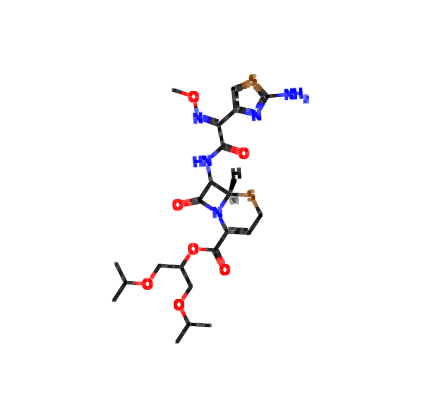 CON=C(C(=O)NC1C(=O)N2C(C(=O)OC(COC(C)C)COC(C)C)=CCS[C@@H]12)c1csc(N)n1